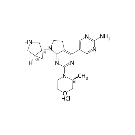 C[C@H]1COCCN1c1nc(-c2cnc(N)nc2)c2c(n1)N([C@@]13CNC[C@@H]1C3)CC2.Cl